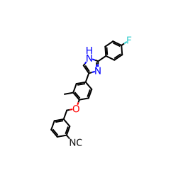 [C-]#[N+]c1cccc(COc2ccc(-c3c[nH]c(-c4ccc(F)cc4)n3)cc2C)c1